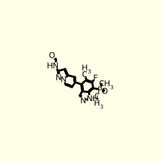 Cc1c(F)c(P(C)(C)=O)c2[nH]ncc2c1-c1ccn2nc(NC=O)cc2c1